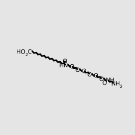 NCCNC(=O)COCCOCCOCCOCCOCCOCCNC(=O)CCCCCCCCCCCCCCCCC(=O)O